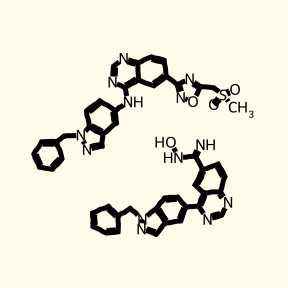 CS(=O)(=O)Cc1nc(-c2ccc3ncnc(Nc4ccc5c(cnn5Cc5ccccc5)c4)c3c2)no1.N=C(NO)c1ccc2ncnc(-c3ccc4c(cnn4Cc4ccccc4)c3)c2c1